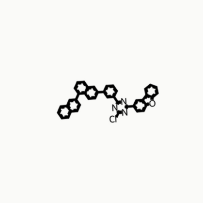 Clc1nc(-c2cccc(-c3ccc4c(-c5ccc6ccccc6c5)cccc4c3)c2)nc(-c2ccc3oc4ccccc4c3c2)n1